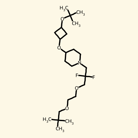 CC(C)(C)COCCOCC(F)(F)CN1CCC(OC2CC(OC(C)(C)C)C2)CC1